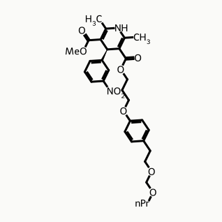 CCCOCOCCc1ccc(OCCCOC(=O)C2=C(C)NC(C)=C(C(=O)OC)[C@@H]2c2cccc([N+](=O)[O-])c2)cc1